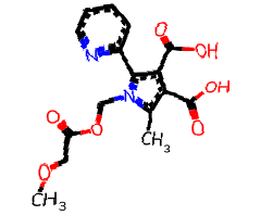 COCC(=O)OCn1c(C)c(C(=O)O)c(C(=O)O)c1-c1ccccn1